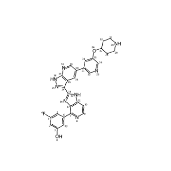 Oc1cc(F)cc(-c2nccc3[nH]c(-c4n[nH]c5ncc(-c6cncc(OC7CCNCC7)c6)cc45)nc23)c1